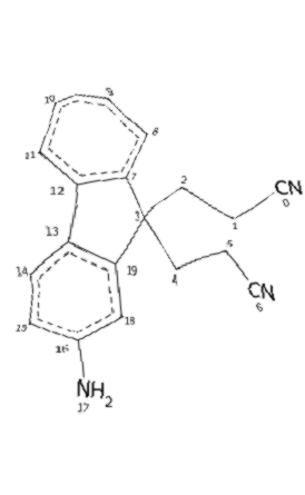 N#CCCC1(CCC#N)c2ccccc2-c2ccc(N)cc21